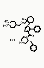 Cl.O=C(c1ncn(C2CCCCC2(O)COCC2CCS(O)(O)CC2)c1-c1ccccc1)N1CCNC[C@H]1Cc1ccccc1